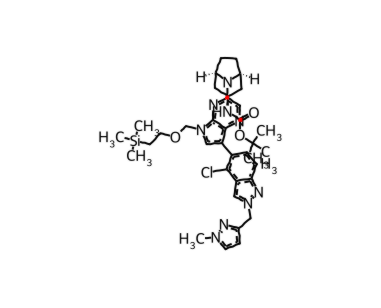 Cn1ccc(Cn2cc3c(Cl)c(-c4cn(COCC[Si](C)(C)C)c5nc(N6[C@@H]7CC[C@H]6C[C@@H](NC(=O)OC(C)(C)C)C7)cnc45)ccc3n2)n1